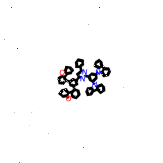 c1ccc(-c2cc(-c3cc(-c4cccc5oc6ccccc6c45)cc(-c4cccc5oc6ccccc6c45)c3)nc(-c3cc(-n4c5ccccc5c5ccccc54)cc(-n4c5ccccc5c5ccccc54)c3)n2)cc1